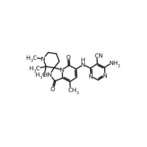 Cc1cc(Nc2ncnc(N)c2C#N)c(=O)n2c1C(=O)NC21CCCN(C)C1(C)C